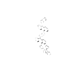 Cc1ccc2cc(-c3c4ccccc4c(-c4ccc5cc(-c6c7ccccc7c(-c7cccc(-c8nc9ccccc9n8-c8ccccc8)c7)c7ccccc67)ccc5c4)c4ccccc34)ccc2c1